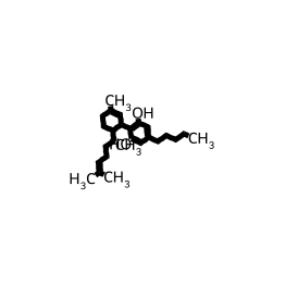 CCCCCc1cc(O)c(C2C=C(C)CCC2C(C)CCC=C(C)C)c(O)c1